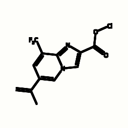 C=C(C)c1cc(C(F)(F)F)c2nc(C(=O)OCl)cn2c1